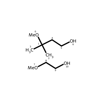 COC(C)(C)CCO.COCCO